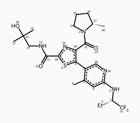 CC[C@H](Nc1cc(C)c(-c2sc(C(=O)NCC(C)(C)O)nc2C(=O)N2CCC[C@@H]2C)cn1)C(F)(F)F